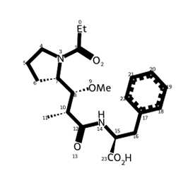 CCC(=O)N1CCC[C@H]1[C@H](OC)[C@@H](C)C(=O)N[C@@H](Cc1ccccc1)C(=O)O